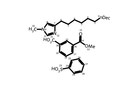 CCCCCCCCCCCCCCCCc1cn(C)cn1.COC(=O)c1cccc(C(=O)O)c1.O=S(=O)(O)c1ccccc1